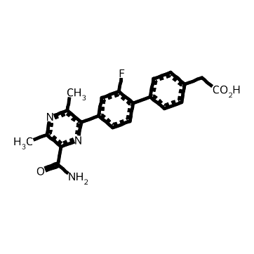 Cc1nc(C)c(-c2ccc(-c3ccc(CC(=O)O)cc3)c(F)c2)nc1C(N)=O